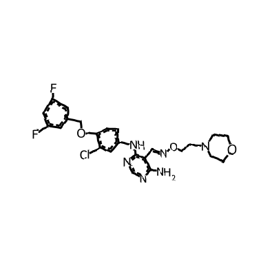 Nc1ncnc(Nc2ccc(OCc3cc(F)cc(F)c3)c(Cl)c2)c1C=NOCCN1CCOCC1